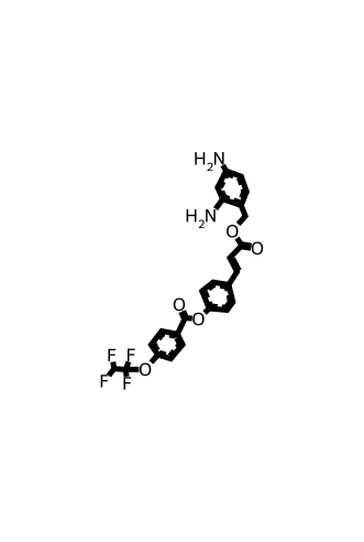 Nc1ccc(COC(=O)/C=C/c2ccc(OC(=O)c3ccc(OC(F)(F)C(F)F)cc3)cc2)c(N)c1